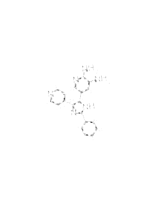 Nc1cc(-c2[nH]c(-c3ccccc3)nc2-c2ccncc2)cnc1N